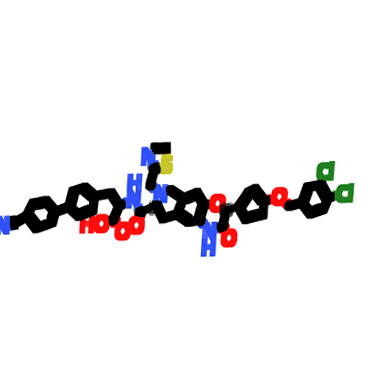 N#Cc1ccc(-c2ccc(CC(NC(=O)[C@@H]3Cc4cc5c(cc4CN3Cc3nccs3)O[C@@H](c3ccc(OCc4ccc(Cl)c(Cl)c4)cc3)C(=O)N5)C(=O)O)cc2)cc1